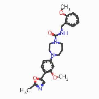 COc1ccccc1CNC(=O)N1CCCN(c2ccc(-c3cnc(C)o3)c(OC)c2)CC1